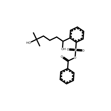 CC(C)(O)CCCC(O)c1ccccc1S(=O)(=O)OC(=O)c1ccccc1